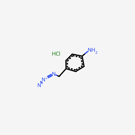 Cl.[N-]=[N+]=NCc1ccc(N)cc1